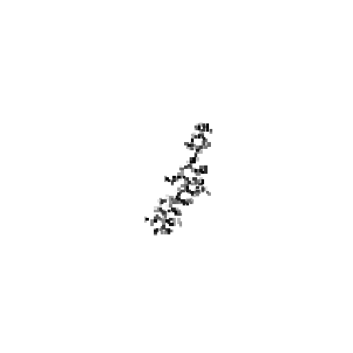 Cc1cnc(COc2cc(C)n(-c3cc(-n4cccc(C(C)(C)C(F)F)c4=O)ncc3C)c(=O)c2Cl)c(F)c1